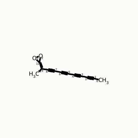 CC#CC#CC#CC#CC(C)=C1OO1